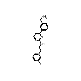 NCc1cccc(-c2cccc(NCCc3cccc(F)c3)n2)c1